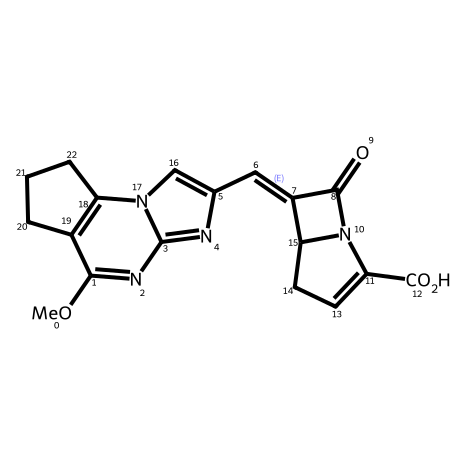 COc1nc2nc(/C=C3/C(=O)N4C(C(=O)O)=CCC34)cn2c2c1CCC2